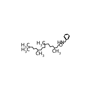 CC(C)CCCC(C)CCCC(C)CCCC(C)CCONCc1ccccc1